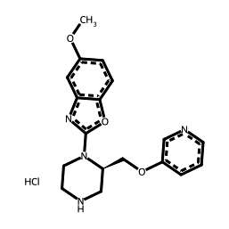 COc1ccc2oc(N3CCNC[C@@H]3COc3cccnc3)nc2c1.Cl